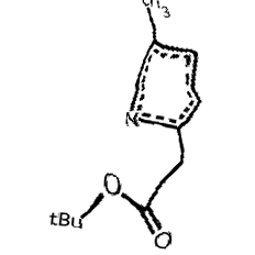 Cc1ccc(CC(=O)OC(C)(C)C)nc1